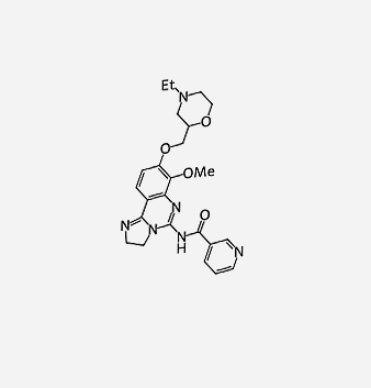 CCN1CCOC(COc2ccc3c(c2OC)N=C(NC(=O)c2cccnc2)N2CCN=C32)C1